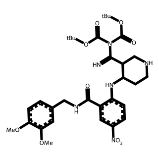 COc1ccc(CNC(=O)c2cc([N+](=O)[O-])ccc2NC2CCNCC2C(=N)N(C(=O)OC(C)(C)C)C(=O)OC(C)(C)C)cc1OC